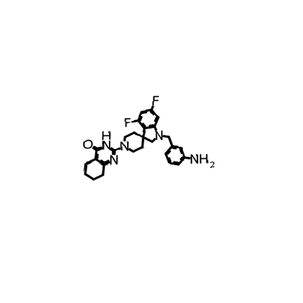 Nc1cccc(CN2CC3(CCN(c4nc5c(c(=O)[nH]4)CCCC5)CC3)c3c(F)cc(F)cc32)c1